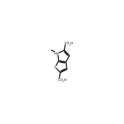 C[SH]1C(C(=O)O)=Cc2cc(C(=O)O)sc21